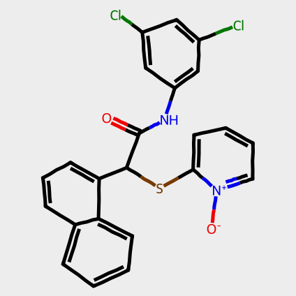 O=C(Nc1cc(Cl)cc(Cl)c1)C(Sc1cccc[n+]1[O-])c1cccc2ccccc12